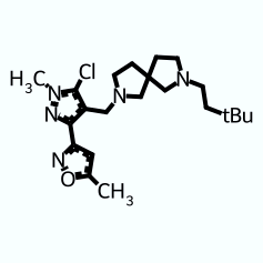 Cc1cc(-c2nn(C)c(Cl)c2CN2CCC3(CCN(CCC(C)(C)C)C3)C2)no1